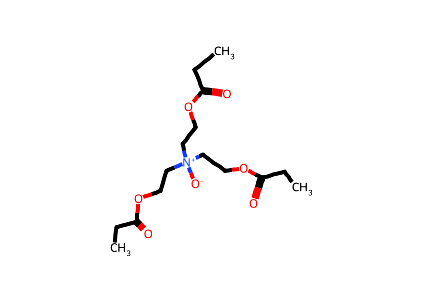 CCC(=O)OCC[N+]([O-])(CCOC(=O)CC)CCOC(=O)CC